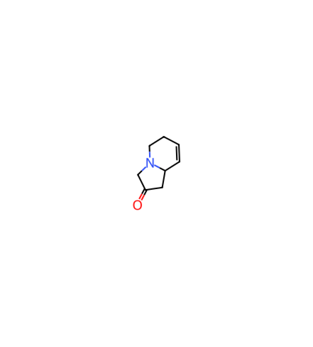 O=C1CC2C=CCCN2C1